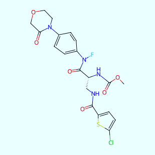 COC(=O)N[C@H](CNC(=O)c1ccc(Cl)s1)C(=O)N(F)c1ccc(N2CCOCC2=O)cc1